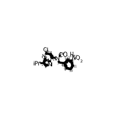 CC(C)c1cnn2c(N(Cc3cccc([N+](=O)[O-])c3)C(=O)O)cc(Cl)nc12